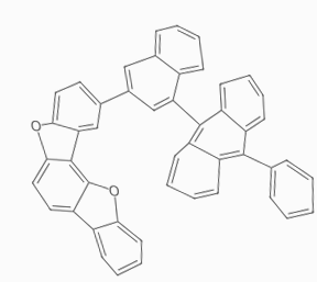 c1ccc(-c2c3ccccc3c(-c3cc(-c4ccc5oc6ccc7c8ccccc8oc7c6c5c4)cc4ccccc34)c3ccccc23)cc1